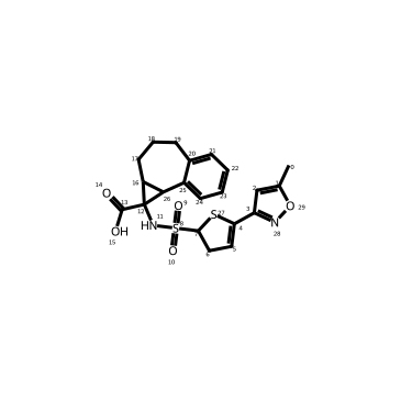 Cc1cc(C2=CCC(S(=O)(=O)NC3(C(=O)O)C4CCCc5ccccc5C43)S2)no1